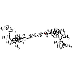 Cc1c(C)c2c(c(C)c1OC(=O)CCC(=O)OCCC1CCN(CCCSCCN3CCC(CCOC(=O)CCC(=O)Oc4c(C)c(C)c5c(c4C)CCC(C)(CCCC(C)CCCC(C)CCCC(C)C)O5)CC3)CC1)CCC(C)(CCCC(C)CCCC(C)CCCC(C)C)O2